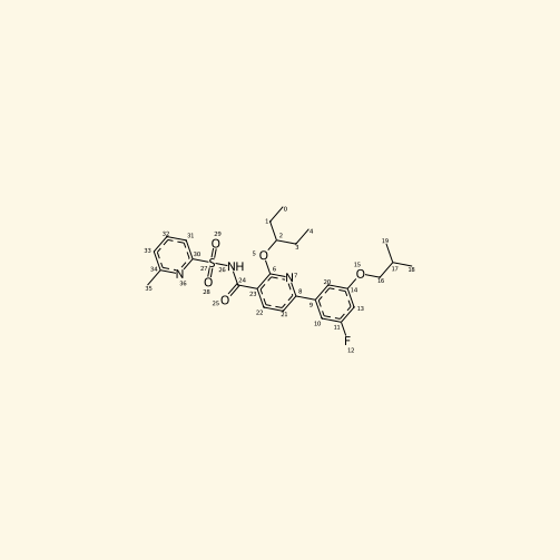 CCC(CC)Oc1nc(-c2cc(F)cc(OCC(C)C)c2)ccc1C(=O)NS(=O)(=O)c1cccc(C)n1